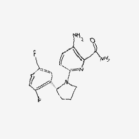 NC(=O)c1nc(N2CCC[C@@H]2c2cc(F)ccc2F)ccc1N